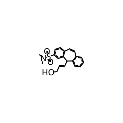 CN(C)S(=O)(=O)c1ccc2c(c1)C(C=CCO)c1ccccc1C=C2